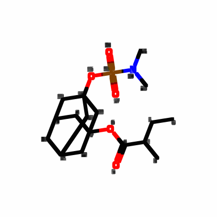 CCC(C)C(=O)OC12CC3CC(C1)CC(OS(=O)(=O)N(C)C)(C3)C2